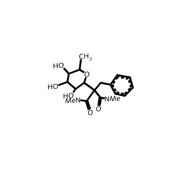 CNC(=O)C(Cc1ccccc1)(C(=O)NC)C1OC(C)C(O)C(O)C1O